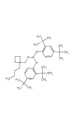 CCCCC1(COP(Oc2ccc(C(C)(C)C)cc2C(C)(C)C)Oc2ccc(C(C)(C)C)cc2C(C)(C)C)CCC1